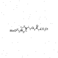 CCOC(=O)CC(=O)COCCN1CCN(CCOC)CC1